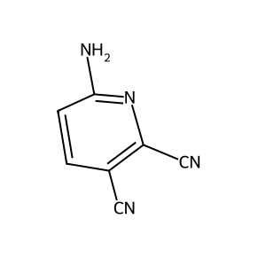 N#Cc1ccc(N)nc1C#N